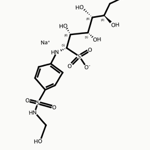 O=S(=O)(NCO)c1ccc(N[C@H]([C@H](O)[C@@H](O)[C@H](O)[C@H](O)CO)S(=O)(=O)[O-])cc1.[Na+]